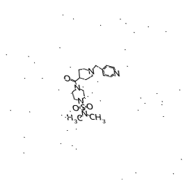 CN(C)S(=O)(=O)N1CCN(C(=O)C2CCN(Cc3ccncc3)CC2)CC1